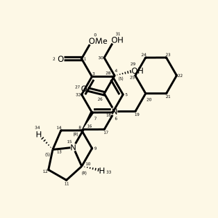 COC(=O)c1cccc([C@H]2C[C@H]3CC[C@@H](C2)N3CCN(CC2CCCCC2)C(=O)[C@@H](O)CO)c1